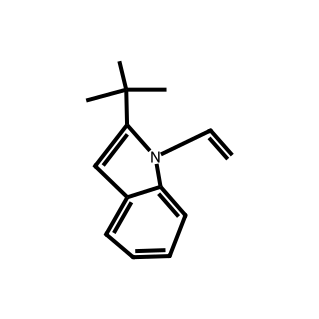 C=Cn1c(C(C)(C)C)cc2ccccc21